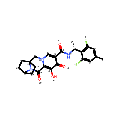 Cc1cc(F)c([C@@H](C)NC(=O)c2cn3c(c(O)c2=O)C(=O)N2C4CCC2(CC4)C3)c(F)c1